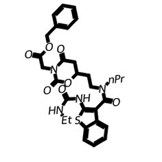 CCCN(CCC1CC(=O)N(CC(=O)OCc2ccccc2)C(=O)O1)C(=O)c1c(NC(=O)NCC)sc2ccccc12